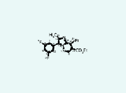 CCOC(=O)c1cnn2c(-c3cc(F)cc(F)c3)c(C)nc2c1C(C)C